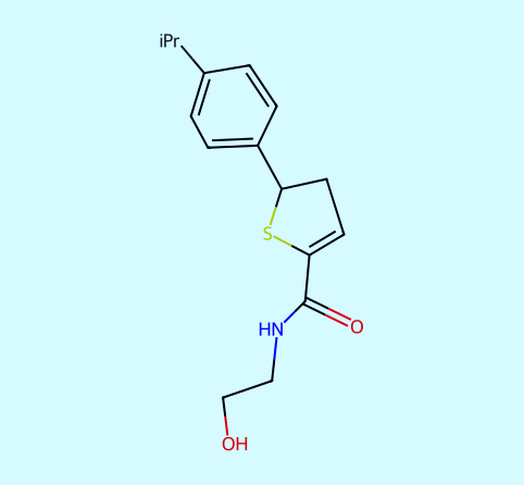 CC(C)c1ccc(C2CC=C(C(=O)NCCO)S2)cc1